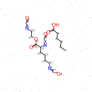 CCCCCC(=O)O.O=C=NCCCCC(N=C=O)C(=O)OCCN=C=O